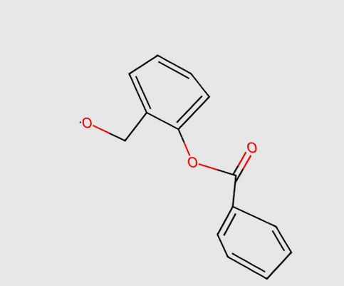 [O]Cc1ccccc1OC(=O)c1ccccc1